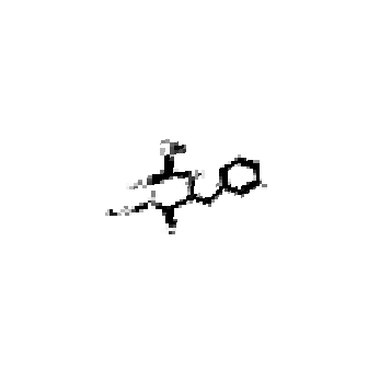 CCCCCCCCCNC(=O)C(Cc1ccccc1)NC(=O)CCCC